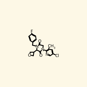 Cc1cc(Cl)cnc1N1CC(=O)N(Cc2ccc(F)cc2)C(C2COC2)C1=O